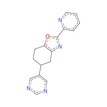 c1ccc(-c2nc3c(o2)CCC(c2cncnc2)C3)nc1